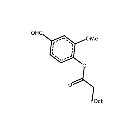 CCCCCCCCCC(=O)Oc1ccc(C=O)cc1OC